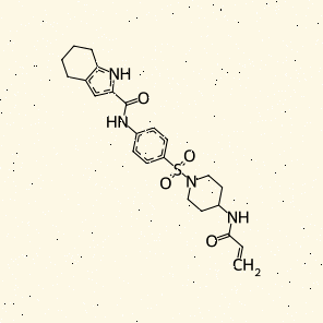 C=CC(=O)NC1CCN(S(=O)(=O)c2ccc(NC(=O)c3cc4c([nH]3)CCCC4)cc2)CC1